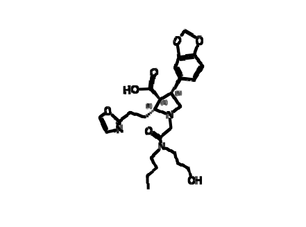 CCCCN(CCCO)C(=O)CN1C[C@H](c2ccc3c(c2)OCO3)[C@H](C(=O)O)[C@H]1CCc1ncco1